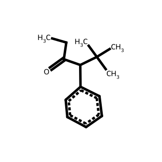 CCC(=O)C(c1ccccc1)C(C)(C)C